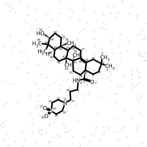 CC1(C)CC[C@]2(C(=O)NCCCN3CCS(=O)(=O)CC3)CC[C@]3(C)C(=C2C1)CCC1[C@@]2(C)CC[C@H](O)C(C)(C)[C@@H]2CC[C@]13C